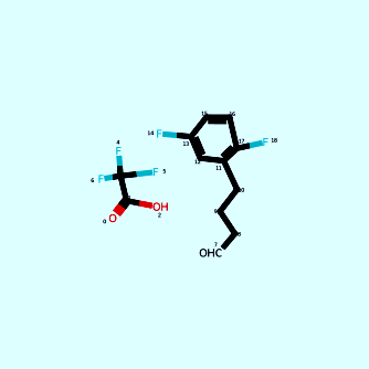 O=C(O)C(F)(F)F.O=CCCCc1cc(F)ccc1F